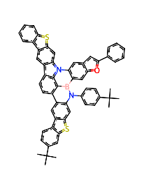 CC(C)(C)c1ccc(N2B3c4cc5oc(-c6ccccc6)cc5cc4-n4c5cc6sc7ccccc7c6cc5c5ccc(c3c54)-c3cc4c(cc32)sc2cc(C(C)(C)C)ccc24)cc1